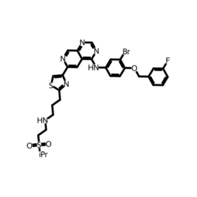 CC(C)S(=O)(=O)CCNCCCc1nc(-c2cc3c(Nc4ccc(OCc5cccc(F)c5)c(Br)c4)ncnc3cn2)cs1